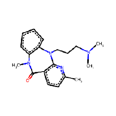 Cc1ccc2c(n1)N(CCCN(C)C)c1ccccc1N(C)C2=O